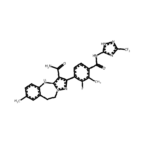 Cc1ccc2c(c1)CCn1nc(-c3ccc(C(=O)Nc4nc(C(F)(F)F)n[nH]4)c(C)c3F)c(C(N)=O)c1N2